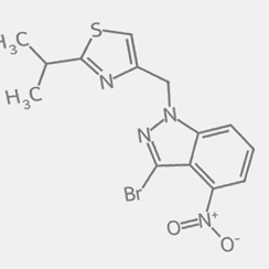 CC(C)c1nc(Cn2nc(Br)c3c([N+](=O)[O-])cccc32)cs1